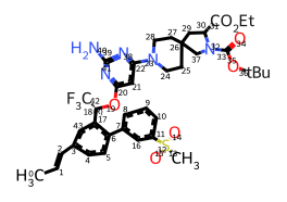 CC=Cc1ccc(-c2cccc(S(C)(=O)=O)c2)c([C@@H](Oc2cc(N3CCC4(CC3)CC(C(=O)OCC)N(C(=O)OC(C)(C)C)C4)nc(N)n2)C(F)(F)F)c1